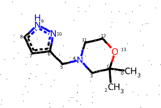 CC1(C)CN(Cc2cc[nH]n2)CCO1